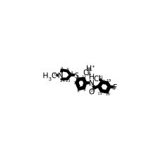 CN1CCC(Sc2cccc(NC(=O)c3ccc(F)cc3Cl)c2)CC1.[Cl-].[H+]